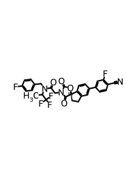 CC(N(Cc1ccc(F)cc1)C(=O)CN1C(=O)O[C@@]2(CCc3cc(-c4ccc(C#N)c(F)c4)ccc32)C1=O)C(F)(F)F